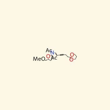 COC[C@@H]1CC[C@H](N(/C=C(/C#CCCC2OCCCO2)C(C)=O)C(C)=O)O1